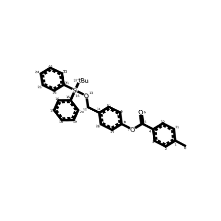 Cc1ccc(C(=O)Oc2ccc(CO[Si](c3ccccc3)(c3ccccc3)C(C)(C)C)cc2)cc1